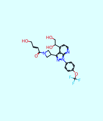 O=C(/C=C/CO)N1CC(c2nn(-c3ccc(OC(F)(F)F)cc3)c3nccc(C(O)CO)c23)C1